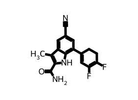 Cc1c(C(N)=O)[nH]c2c(C3=CC(F)=C(F)CC3)cc(C#N)cc12